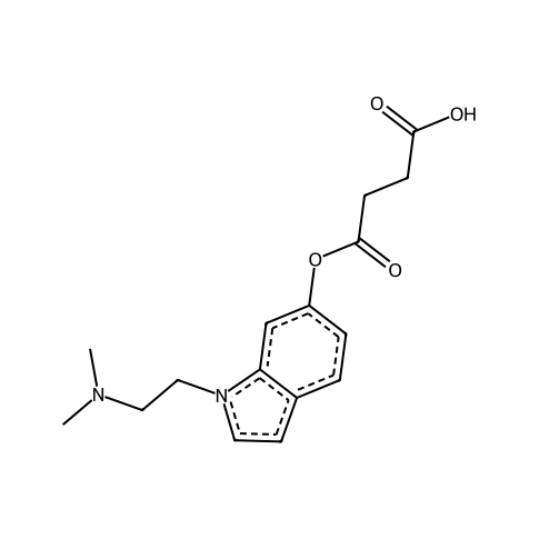 CN(C)CCn1ccc2ccc(OC(=O)CCC(=O)O)cc21